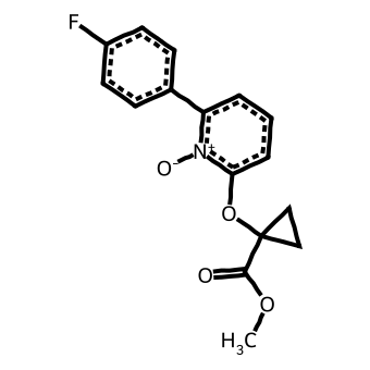 COC(=O)C1(Oc2cccc(-c3ccc(F)cc3)[n+]2[O-])CC1